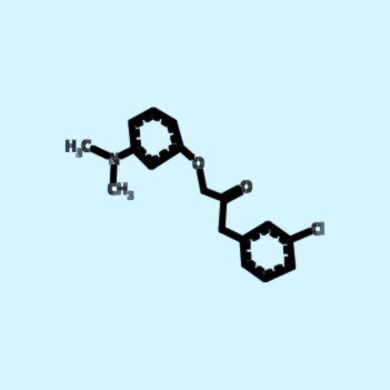 CN(C)c1cccc(OCC(=O)Cc2cccc(Cl)c2)c1